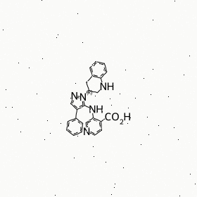 O=C(O)c1ccncc1Nc1c(-c2ccccc2)cnn1[C@H]1CNc2ccccc2C1